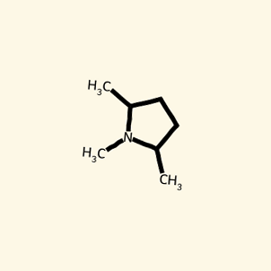 CC1CCC(C)N1C